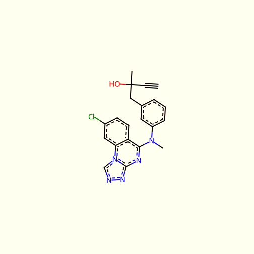 C#CC(C)(O)Cc1cccc(N(C)c2nc3nncn3c3cc(Cl)ccc23)c1